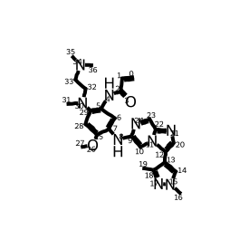 C=CC(=O)Nc1cc(Nc2cn3c(-c4cn(C)nc4C)cnc3cn2)c(OC)cc1N(C)CCN(C)C